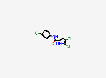 O=C(Nc1ccc(Cl)cc1)c1cc(Cl)c(Cl)[nH]1